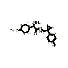 NC(C(=O)NCC1(c2ccc(F)cc2)CC1)C1CCC(C=O)CC1